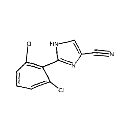 N#Cc1c[nH]c(-c2c(Cl)cccc2Cl)n1